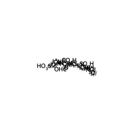 O=COc1cc(-n2n3c4ccc5cc(S(=O)(=O)O)ccc5c4n23)c(C(=O)O)cc1N=Nc1ccc(C=Cc2ccc(-n3n4c5ccc6ccccc6c5n34)cc2S(=O)(=O)O)cc1